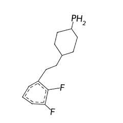 Fc1cccc(CCC2CCC(P)CC2)c1F